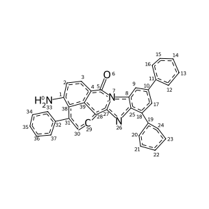 Nc1ccc2c(=O)n3c4cc(-c5ccccc5)cc(-c5ccccc5)c4nc3c3ccc(-c4ccccc4)c1c23